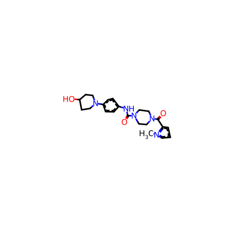 Cn1cccc1C(=O)N1CCN(C(=O)Nc2ccc(N3CCC(O)CC3)cc2)CC1